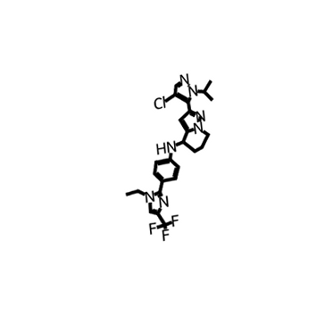 CCn1cc(C(F)(F)F)nc1-c1ccc(NC2CCCn3nc(-c4c(Cl)cnn4C(C)C)cc32)cc1